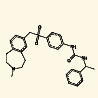 CC(NC(=O)Nc1ccc(S(=O)(=O)Cc2ccc3c(c2)CCN(C)CC3)cc1)c1ccccc1